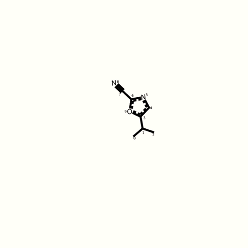 CC(C)c1cnc(C#N)o1